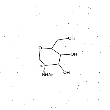 CC(=O)N[C@@H]1COC(CO)C(O)C1O